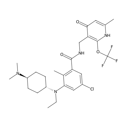 CCN(c1cc(Cl)cc(C(=O)NCc2c(OC(F)(F)F)[nH]c(C)cc2=O)c1C)[C@H]1CC[C@H](N(C)C)CC1